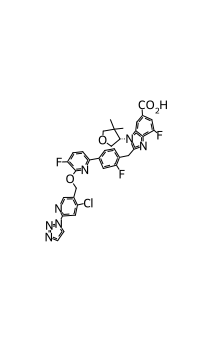 CC1(C)COC[C@H]1n1c(Cc2ccc(-c3ccc(F)c(OCc4cnc(-n5ccnn5)cc4Cl)n3)cc2F)nc2c(F)cc(C(=O)O)cc21